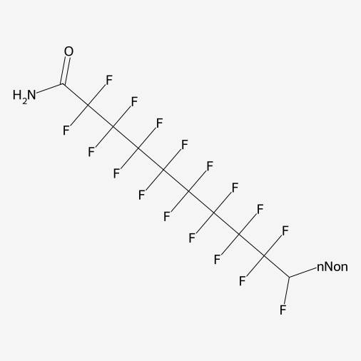 CCCCCCCCCC(F)C(F)(F)C(F)(F)C(F)(F)C(F)(F)C(F)(F)C(F)(F)C(F)(F)C(F)(F)C(N)=O